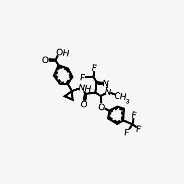 CN1N=C(C(F)F)C(C(=O)NC2(c3ccc(C(=O)O)cc3)CC2)C1Oc1ccc(C(F)(F)F)cc1